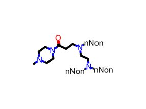 CCCCCCCCCN(CCCCCCCCC)CCN(CCCCCCCCC)CCC(=O)N1CCN(C)CC1